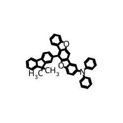 CC1(C)c2ccccc2-c2ccc(-c3c4oc5ccc(N(c6ccccc6)c6ccccc6)cc5c4cc4oc5ccccc5c34)cc21